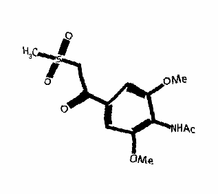 COc1cc(C(=O)CS(C)(=O)=O)cc(OC)c1NC(C)=O